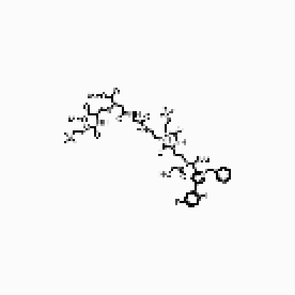 COC(=O)C(CSC(CC(=O)NCC(=O)NCCNC(=O)C(CCN(C(=O)CO)C(c1cc(-c2cc(F)ccc2F)cn1Cc1ccccc1)C(C)(C)C)NC(=O)OCC[Si](C)(C)C)C(=O)OC)NC(=O)OCC[Si](C)(C)C